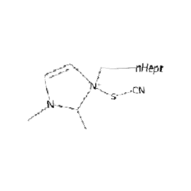 CCCCCCCC[N+]1(SC#N)C=CN(C)C1C